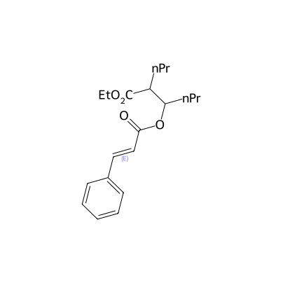 CCCC(OC(=O)/C=C/c1ccccc1)C(CCC)C(=O)OCC